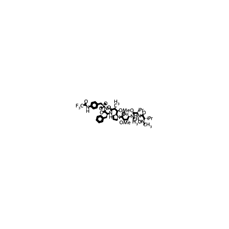 CC[C@@H](C)[C@@H]([C@@H](CC(=O)N1CCC[C@H]1[C@H](OC)[C@@H](C)C(=O)N[C@@H](Cc1ccccc1)C(=O)NS(=O)(=O)Cc1ccc(NC(=O)C(F)(F)F)cc1)OC)N(C)C(=O)[C@@H](NC(=O)[C@H](C(C)C)N(C)C)C(C)C